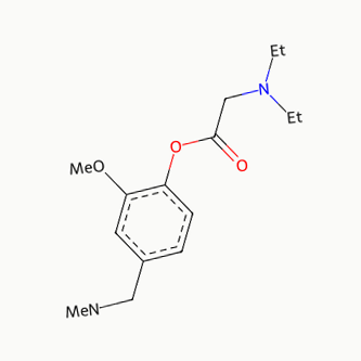 CCN(CC)CC(=O)Oc1ccc(CNC)cc1OC